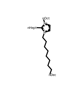 CCCCCCCCCCCCCCCCCCn1cc[n+](CCCCCCCC)c1CCCCCCC